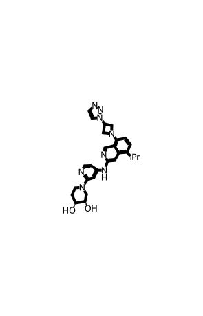 CC(C)c1ccc(N2CC(n3ccnn3)C2)c2cnc(Nc3ccnc(N4CC[C@@H](O)[C@@H](O)C4)c3)cc12